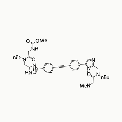 CCCCN(Cc1ncc(-c2ccc(C#Cc3ccc(C4=CNC(CN(CCC)C(=O)CNC(=O)OC)N4)cc3)cc2)[nH]1)C(=O)CNC